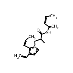 C=Cc1ccn(CC(I)C(=O)NC(=C)/C=C\C)c1/C=C\C